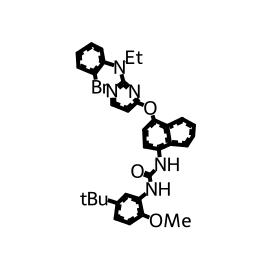 CCN(c1nccc(Oc2ccc(NC(=O)Nc3cc(C(C)(C)C)ccc3OC)c3ccccc23)n1)c1ccccc1Br